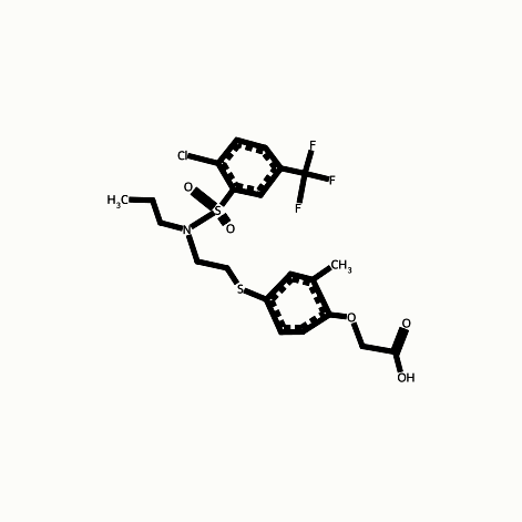 CCCN(CCSc1ccc(OCC(=O)O)c(C)c1)S(=O)(=O)c1cc(C(F)(F)F)ccc1Cl